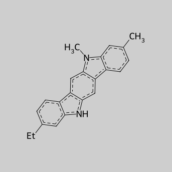 CCc1ccc2c(c1)[nH]c1cc3c4ccc(C)cc4n(C)c3cc12